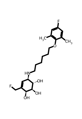 Cc1cc(F)cc(C)c1OCCCCCCN[C@@H]1C=C(CF)[C@H](O)[C@H](O)[C@H]1O